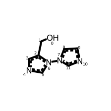 OCc1cncn1-n1ccnc1